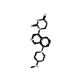 CNC1CCN(c2cccc3c(N4CCC(=O)NC4=O)cncc23)CC1